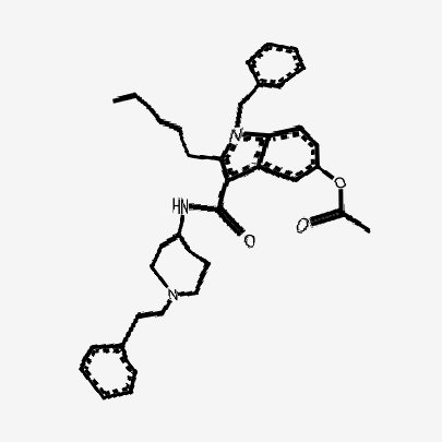 CCCCCc1c(C(=O)NC2CCN(CCc3ccccc3)CC2)c2cc(OC(C)=O)ccc2n1Cc1ccccc1